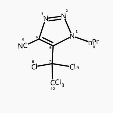 CCCn1nnc(C#N)c1C(Cl)(Cl)C(Cl)(Cl)Cl